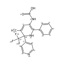 CC1=CC(NC(=O)O)=C(c2ccccc2)NC1(c1ccncc1)C(F)(F)F